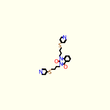 O=c1c2ccccc2n(CCCCSc2ccncc2)c(=O)n1CCCCSc1ccncc1